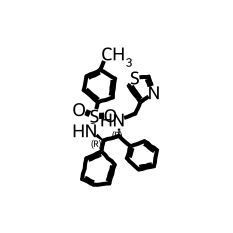 Cc1ccc(S(=O)(=O)N[C@H](c2ccccc2)[C@H](NCc2cscn2)c2ccccc2)cc1